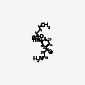 CCCCS(=O)(=O)Nc1cccc(C(=O)CCN)c1